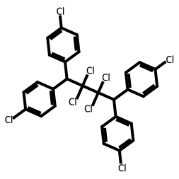 Clc1ccc(C(c2ccc(Cl)cc2)C(Cl)(Cl)C(Cl)(Cl)C(c2ccc(Cl)cc2)c2ccc(Cl)cc2)cc1